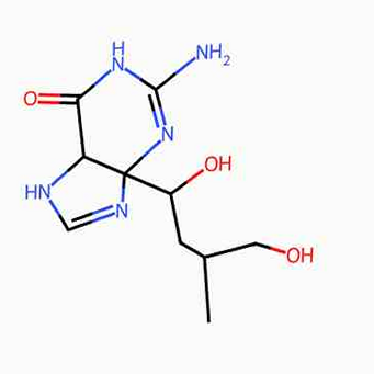 CC(CO)CC(O)C12N=CNC1C(=O)NC(N)=N2